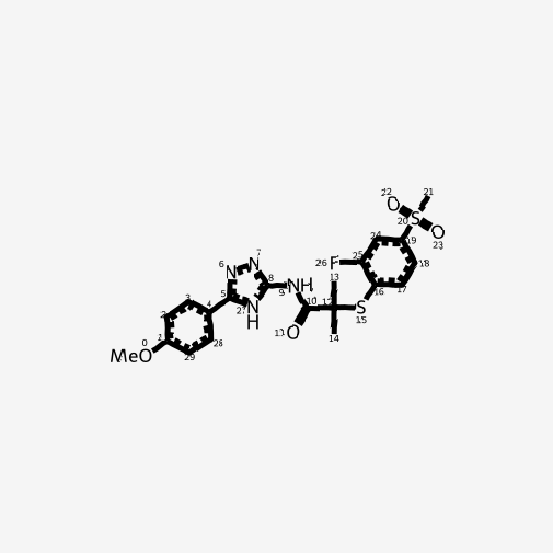 COc1ccc(-c2nnc(NC(=O)C(C)(C)Sc3ccc(S(C)(=O)=O)cc3F)[nH]2)cc1